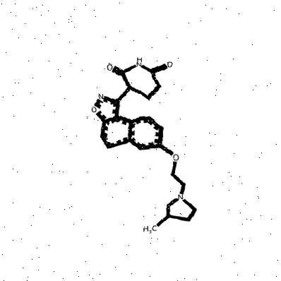 CC1CCN(CCOc2ccc3c(ccc4onc(C5CCC(=O)NC5=O)c43)c2)C1